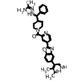 CN/C(C)=C(\C=N)c1ccc2oc(-c3ccnc(C(=O)N4CCC(C(N/N=C(/C)N)c5ccccc5)CC4)c3)nc2c1